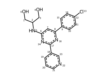 OCC(CO)Nc1cc(-c2ccc(Cl)cc2)nc(-c2cccnc2)n1